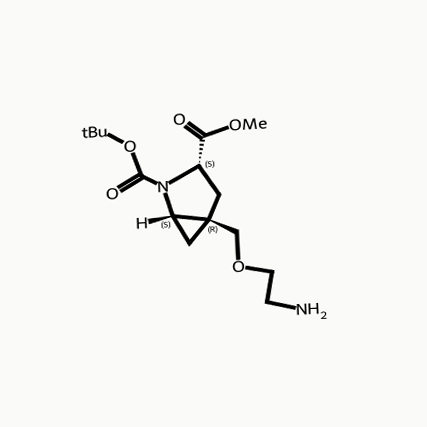 COC(=O)[C@@H]1C[C@]2(COCCN)C[C@@H]2N1C(=O)OC(C)(C)C